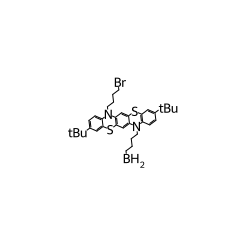 BCCCCn1c2ccc(C(C)(C)C)cc2sc2cc3c(cc21)sc1cc(C(C)(C)C)ccc1n3CCCCBr